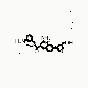 CCCN(Cc1cccc(N)c1)C(=O)C1=Cc2ccc(-c3cncc(CO)c3)cc2N=C(N)C1